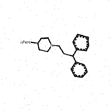 CCCCCC1CCN(CCC(c2ccccc2)c2ccccc2)CC1